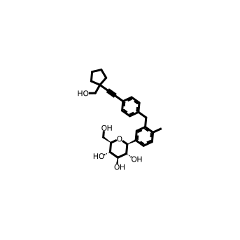 Cc1ccc([C@@H]2O[C@H](CO)[C@@H](O)[C@H](O)[C@H]2O)cc1Cc1ccc(C#CC2(CO)CCCC2)cc1